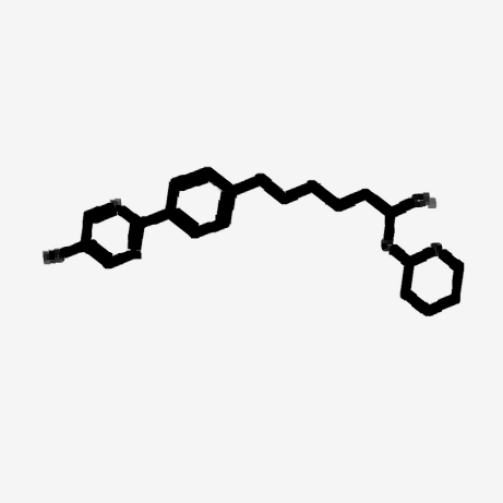 CC(CCCCCc1ccc(-c2ncc(O)cn2)cc1)OC1CCCCO1